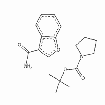 CC(C)(C)OC(=O)N1CCCC1.NC(=O)c1coc2ccccc12